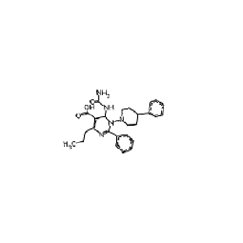 CCCC1=C(C(=O)O)C(NC(N)=O)N(N2CCC(c3ccccc3)CC2)C(c2ccccc2)=N1